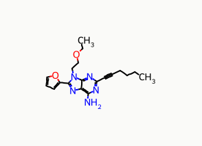 CCCCC#Cc1nc(N)c2nc(-c3ccco3)n(CCOCC)c2n1